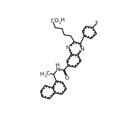 CC(NC(=O)c1ccc2nc(-c3ccc(F)cc3)c(CCCCC(=O)O)nc2c1)c1cccc2ccccc12